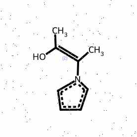 C/C(O)=C(\C)n1cccc1